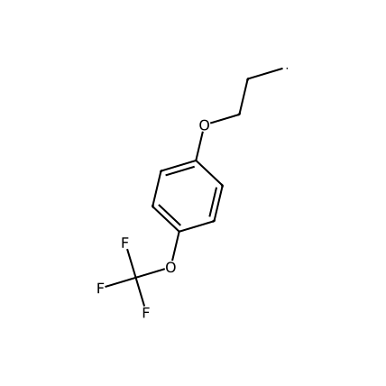 [CH2]CCOc1ccc(OC(F)(F)F)cc1